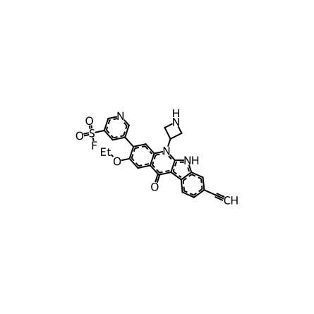 C#Cc1ccc2c(c1)[nH]c1c2c(=O)c2cc(OCC)c(-c3cncc(S(=O)(=O)F)c3)cc2n1C1CNC1